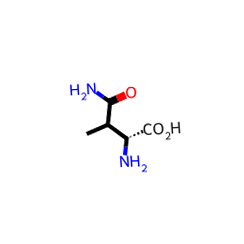 CC(C(N)=O)[C@@H](N)C(=O)O